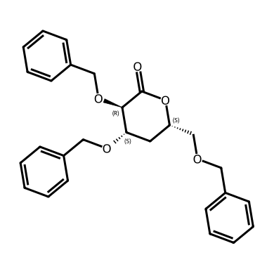 O=C1O[C@H](COCc2ccccc2)C[C@H](OCc2ccccc2)[C@H]1OCc1ccccc1